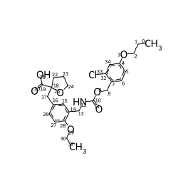 CCCOc1ccc(COC(=O)NCc2cc(CC3(C(=O)O)CCCO3)ccc2OCC)c(Cl)c1